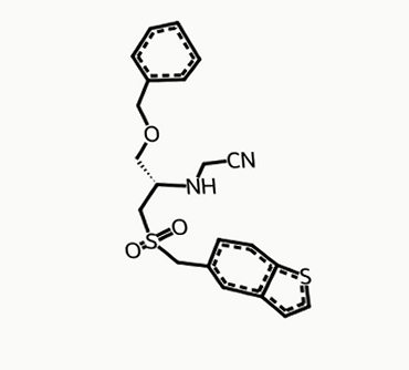 N#CCN[C@@H](COCc1ccccc1)CS(=O)(=O)Cc1ccc2sccc2c1